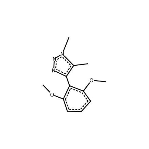 COc1cccc(OC)c1-c1nnn(C)c1C